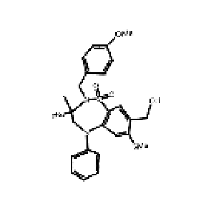 CCCCC1(C)CN(c2ccccc2)c2cc(SC)c(CO)cc2S(=O)(=O)N1Cc1ccc(OC)cc1